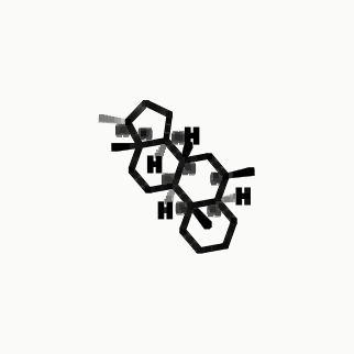 C[C@@H]1C[C@@H]2[C@H](CC[C@]3(C)[C@H](C)CC[C@@H]23)[C@@]2(C)CCCC[C@H]12